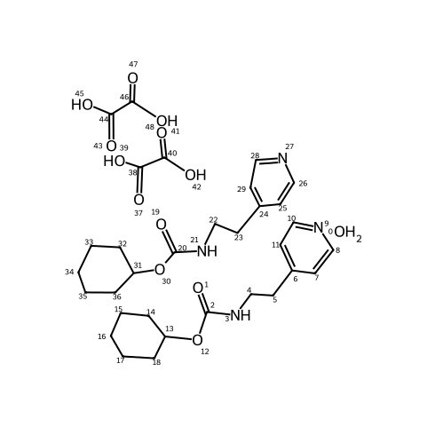 O.O=C(NCCc1ccncc1)OC1CCCCC1.O=C(NCCc1ccncc1)OC1CCCCC1.O=C(O)C(=O)O.O=C(O)C(=O)O